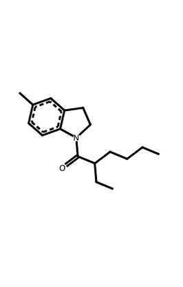 CCCCC(CC)C(=O)N1CCc2cc(C)ccc21